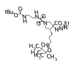 CCOC(=O)[C@]1(N=[N+]=[N-])CN(S(=O)(=O)NCCNC(=O)OC(C)(C)C)C[C@@H]1CCCB1OC(C)(C)C(C)(C)O1